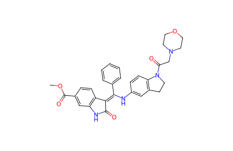 COC(=O)c1ccc2c(c1)NC(=O)/C2=C(\Nc1ccc2c(c1)CCN2C(=O)CN1CCOCC1)c1ccccc1